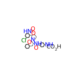 O=C(O)Nc1ccc(C(=O)N[C@@H](Cc2ccccc2)C(=O)N2CCC[C@]3(C2)OC(=O)Nc2ccc(Cl)cc23)cc1